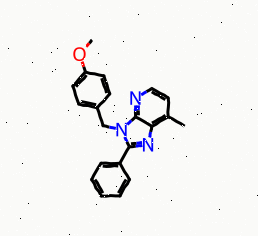 COc1ccc(Cn2c(-c3ccccc3)nc3c(C)ccnc32)cc1